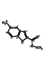 COC(=O)c1nc2cc(C)ccc2o1